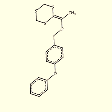 CC(OCc1ccc(Oc2ccccc2)cc1)=C1SCSCS1